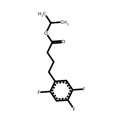 CC(C)OC(=O)CCCc1cc(F)c(F)cc1F